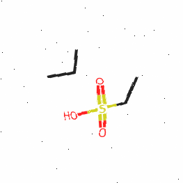 CCC.CCS(=O)(=O)O